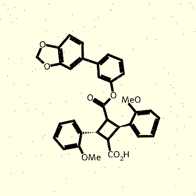 COc1ccccc1[C@H]1C(C(=O)O)[C@H](c2ccccc2OC)C1C(=O)Oc1cccc(-c2ccc3c(c2)OCO3)c1